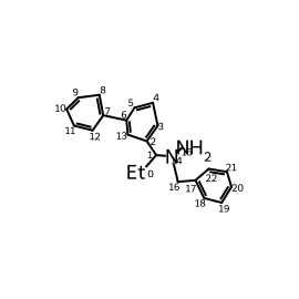 CCC(c1cccc(-c2ccccc2)c1)N(N)Cc1ccccc1